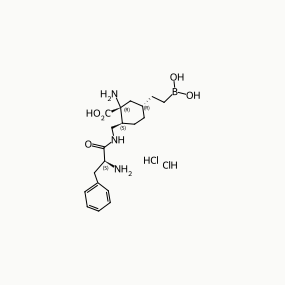 Cl.Cl.N[C@@H](Cc1ccccc1)C(=O)NC[C@@H]1CC[C@@H](CCB(O)O)C[C@]1(N)C(=O)O